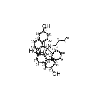 CCCCNC(c1ccccc1)(c1c(O)ccc2cc(O)ccc12)c1c(O)ccc2cc(O)ccc12